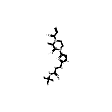 C=CC(=O)N1CCN(c2ccc(CCC(=O)OC(C)(C)C)o2)C(=O)C1C